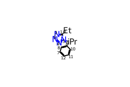 CCc1nnnn1C(C)C.c1ccccc1